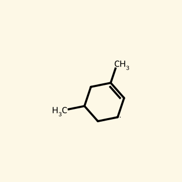 CC1=C[CH]CC(C)C1